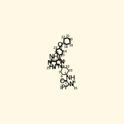 CC(C)C(C(=O)NC1CCC(n2nc(-c3ccc(Oc4ccccc4)cc3)c3c(N)ncnc32)CC1)N(C)C